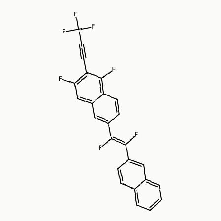 F/C(=C(/F)c1ccc2c(F)c(C#CC(F)(F)F)c(F)cc2c1)c1ccc2ccccc2c1